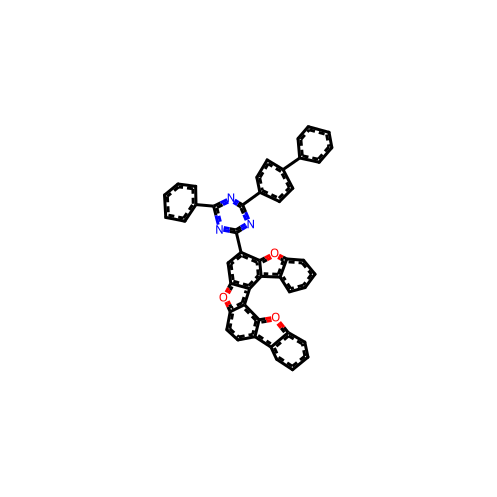 c1ccc(-c2ccc(-c3nc(-c4ccccc4)nc(-c4cc5oc6ccc7c8ccccc8oc7c6c5c5c4oc4ccccc45)n3)cc2)cc1